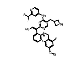 CCCC=C(c1ncc(CC2CNC2)c(Nc2ccnc(C(F)F)c2)n1)c1ccccc1NCc1c(F)cc(OCC)cc1F